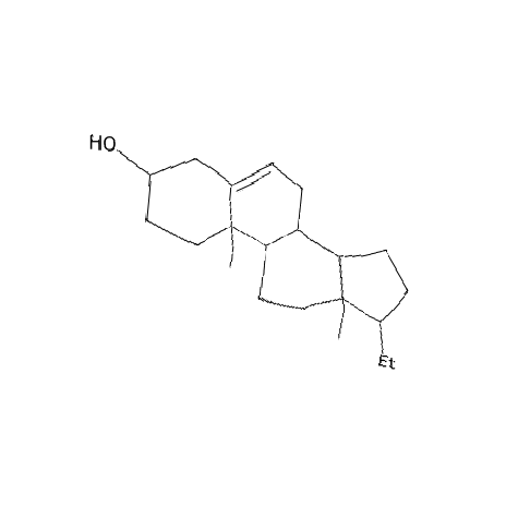 CCC1CCC2C3CC=C4CC(O)CCC4(C)C3CCC12C